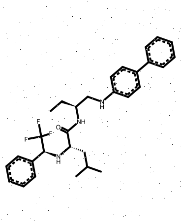 CC[C@@H](CNc1ccc(-c2ccccc2)cc1)NC(=O)[C@H](CC(C)C)N[C@@H](c1ccccc1)C(F)(F)F